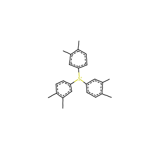 Cc1ccc([S+](c2ccc(C)c(C)c2)c2ccc(C)c(C)c2)cc1C